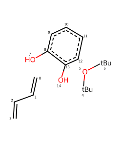 C=CC=C.CC(C)(C)OC(C)(C)C.Oc1ccccc1O